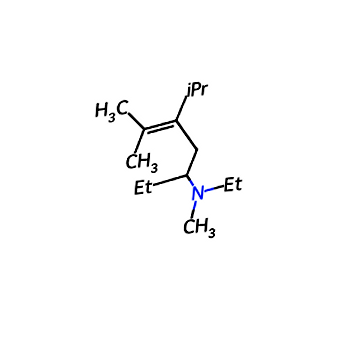 CCC(CC(=C(C)C)C(C)C)N(C)CC